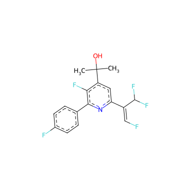 CC(C)(O)c1cc(C(=CF)C(F)F)nc(-c2ccc(F)cc2)c1F